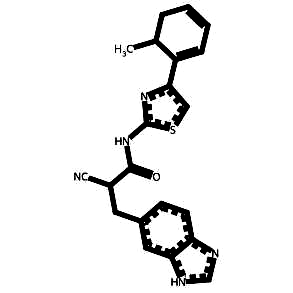 CC1CC=CC=C1c1csc(NC(=O)C(C#N)Cc2ccc3nc[nH]c3c2)n1